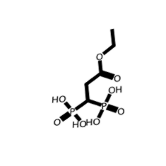 CCOC(=O)CC(P(=O)(O)O)P(=O)(O)O